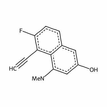 C#Cc1c(F)ccc2cc(O)cc(NC)c12